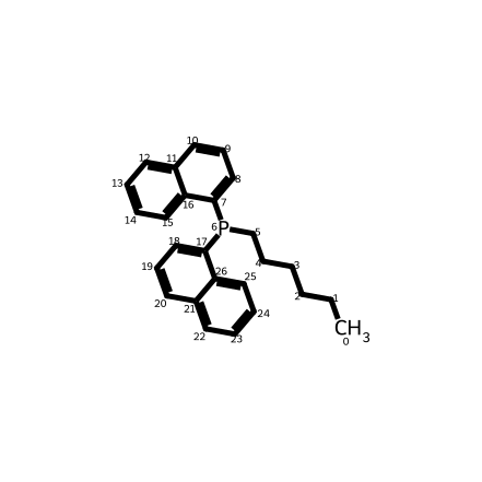 CCCCCCP(c1cccc2ccccc12)c1cccc2ccccc12